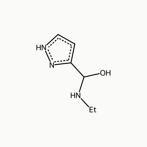 CCNC(O)c1cc[nH]n1